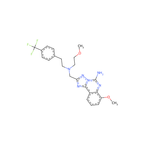 COCCN(CCc1ccc(C(F)(F)F)cc1)Cc1nc2c3cccc(OC)c3nc(N)n2n1